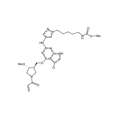 C=CC(=O)N1C[C@H](COc2nc(Nc3cnn(CCCCCNC(=O)OC(C)(C)C)c3)nc3[nH]cc(Cl)c23)[C@@H](OC)C1